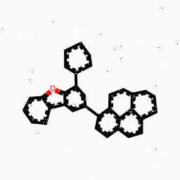 c1ccc(-c2cc(-c3ccc4ccc5cccc6ccc3c4c56)cc3c2oc2ccccc23)cc1